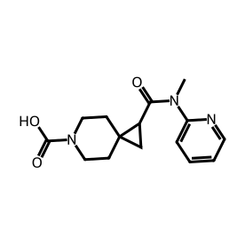 CN(C(=O)C1CC12CCN(C(=O)O)CC2)c1ccccn1